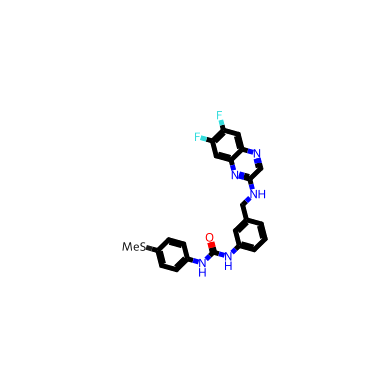 CSc1ccc(NC(=O)Nc2cccc(CNc3cnc4cc(F)c(F)cc4n3)c2)cc1